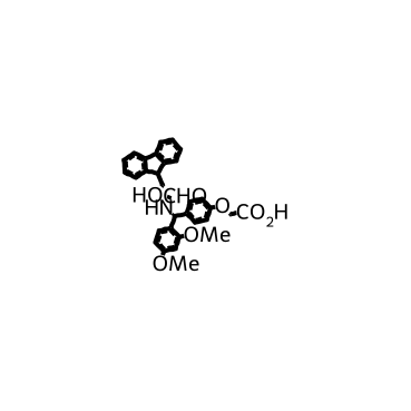 COc1ccc([C@@H](NC=O)c2ccc(OCC(=O)O)cc2)c(OC)c1.OCC1c2ccccc2-c2ccccc21